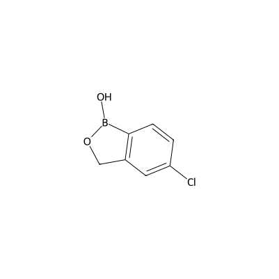 OB1OCc2cc(Cl)ccc21